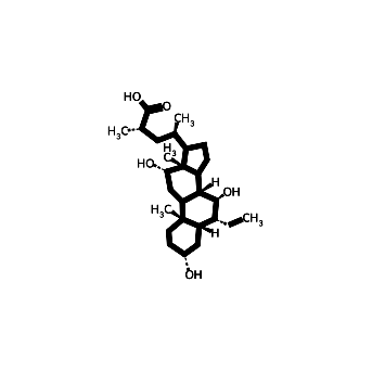 CC[C@H]1[C@@H](O)[C@H]2C3CCC([C@H](C)C[C@H](C)C(=O)O)[C@@]3(C)[C@@H](O)CC2[C@@]2(C)CC[C@@H](O)C[C@@H]12